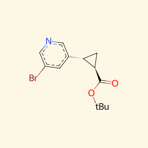 CC(C)(C)OC(=O)[C@@H]1C[C@H]1c1cncc(Br)c1